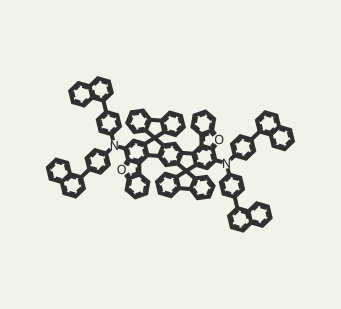 c1ccc2c(c1)-c1ccccc1C21c2cc3c(cc2-c2c1cc(N(c1ccc(-c4cccc5ccccc45)cc1)c1ccc(-c4cccc5ccccc45)cc1)c1oc4ccccc4c21)C1(c2ccccc2-c2ccccc21)c1cc(N(c2ccc(-c4cccc5ccccc45)cc2)c2ccc(-c4cccc5ccccc45)cc2)c2oc4ccccc4c2c1-3